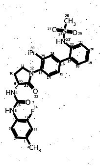 Cc1ccc(NC(=O)N[C@@H]2CCN(c3ccc(-c4ccccc4NS(C)(=O)=O)cc3C(C)C)C2=O)c(F)c1